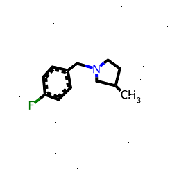 CC1CCN(Cc2ccc(F)cc2)C1